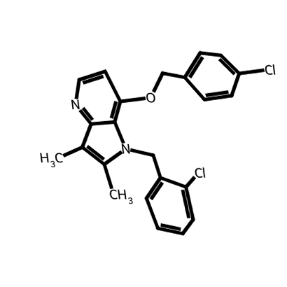 Cc1c(C)n(Cc2ccccc2Cl)c2c(OCc3ccc(Cl)cc3)ccnc12